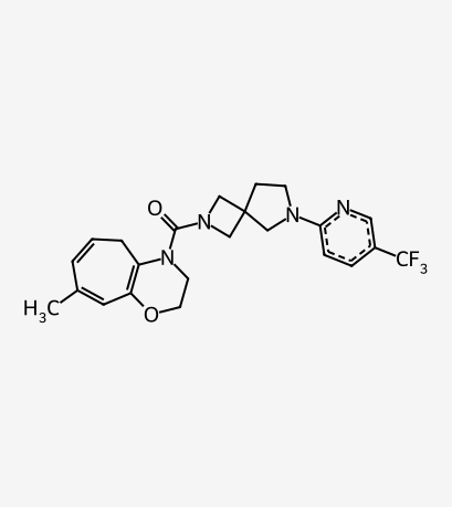 CC1=CC2=C(CC=C1)N(C(=O)N1CC3(CCN(c4ccc(C(F)(F)F)cn4)C3)C1)CCO2